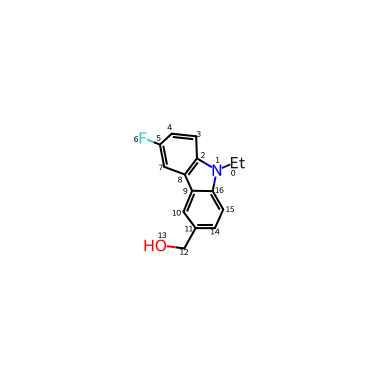 CCn1c2ccc(F)cc2c2cc(CO)ccc21